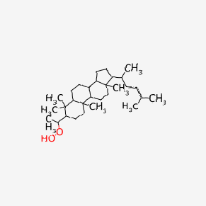 CC(C)CCC(C)C1CCC2C3CCC4C(C)(C)C(C(C)OO)CCC4(C)C3CCC12C